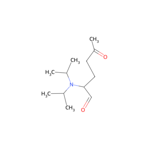 CC(=O)CCC(C=O)N(C(C)C)C(C)C